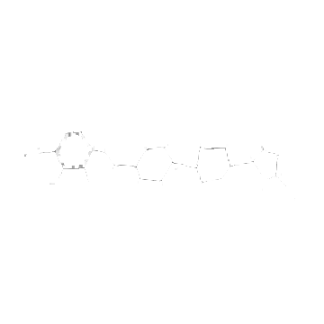 CCCc1ccc(CCC2CCC(C3CCC(C4CCC(CCC)O4)CC3)CC2)c(F)c1F